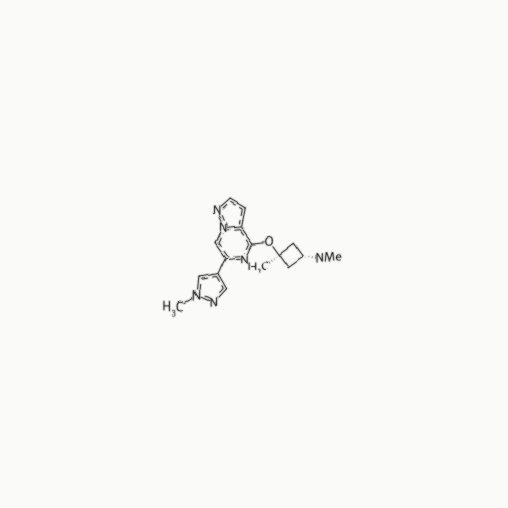 CN[C@H]1C[C@](C)(Oc2nc(-c3cnn(C)c3)cn3nccc23)C1